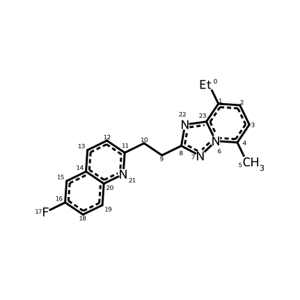 CCc1ccc(C)n2nc(CCc3ccc4cc(F)ccc4n3)nc12